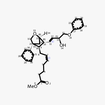 COC(=O)CCC/C=C\C[C@@H]1[C@@H](/C=C/[C@H](O)COc2ccccc2)[C@H]2C[C@]1(c1ccccc1)CO2